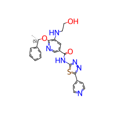 C[C@H](Oc1ncc(C(=O)Nc2nnc(-c3ccncc3)s2)cc1NCCO)c1ccccc1